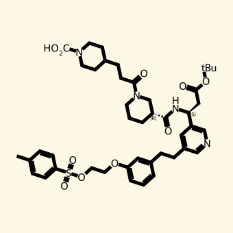 Cc1ccc(S(=O)(=O)OCCOc2cccc(CCc3cncc([C@H](CC(=O)OC(C)(C)C)NC(=O)[C@@H]4CCCN(C(=O)CCC5CCN(C(=O)O)CC5)C4)c3)c2)cc1